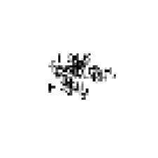 CC[C@H](NCC(N)CO)c1cc(C)c(C)cc1C1CCN(C(=O)[C@@H]2CN(C(C)(C)C)C[C@H]2c2ccc(F)cc2F)CC1